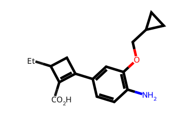 CCC1CC(c2ccc(N)c(OCC3CC3)c2)=C1C(=O)O